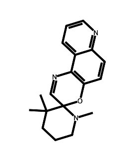 CN1CCCC(C)(C)C12C=Nc1c(ccc3ncccc13)O2